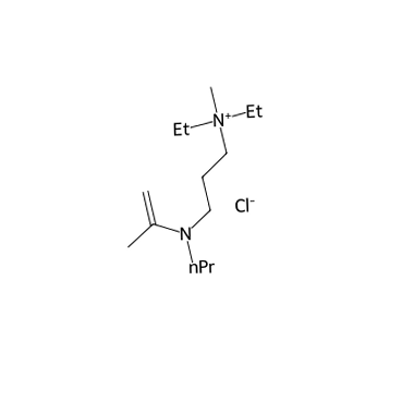 C=C(C)N(CCC)CCC[N+](C)(CC)CC.[Cl-]